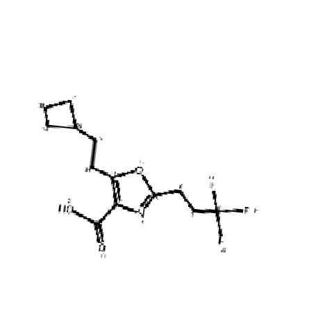 O=C(O)c1nc(CCC(F)(F)F)oc1CCC1CCC1